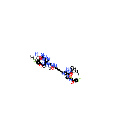 CN[C@@H](C)C(=O)N[C@H](C(=O)N1CCC[C@H]1C1=NC(C(=O)c2ccc(F)cc2)CS1)C1CCN(CCCCCCCCC(=O)NCCN2N=CC3C(=C2C#N)c2cnc(N)c(n2)O[C@H](C)c2cc(F)ccc2C(=O)N3C)CC1